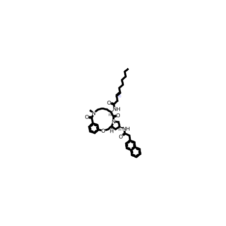 CCCCCC/C=C/CC(=O)N[C@H]1CCCN(C)C(=O)c2cccc(c2)OC[C@@H]2C[C@H](NC(=O)Cc3ccc4ccccc4c3)CN2C1=O